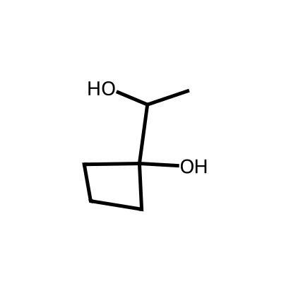 CC(O)C1(O)CCC1